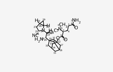 CN(C)[C@@H](CCC(N)=O)C(=O)OC12CC3CC(C1)CC([C@H](N)C(=O)N1[C@H](C#N)C[C@@H]4C[C@@H]41)(C3)C2